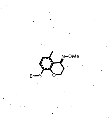 CON=C1CCOc2c(SBr)ccc(C)c21